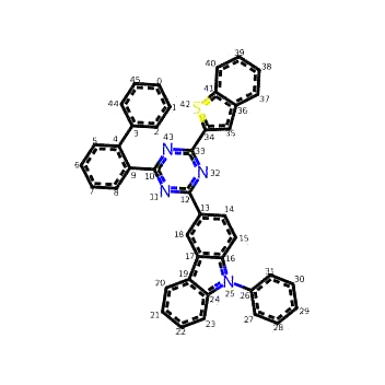 c1ccc(-c2ccccc2-c2nc(-c3ccc4c(c3)c3ccccc3n4-c3ccccc3)nc(-c3cc4ccccc4s3)n2)cc1